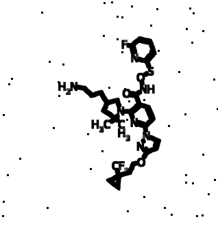 CC1(C)CC(CCCN)CN1c1nc(-n2ccc(OCCC3(C(F)(F)F)CC3)n2)ccc1C(=O)NOSc1cccc(F)n1